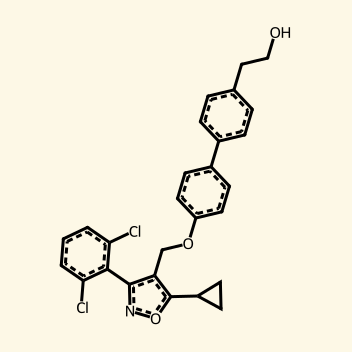 OCCc1ccc(-c2ccc(OCc3c(-c4c(Cl)cccc4Cl)noc3C3CC3)cc2)cc1